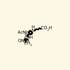 CC(=O)Nc1cc(NCCCCCC(=O)O)ccc1C(=O)Nc1nc(C)c(N=O)s1